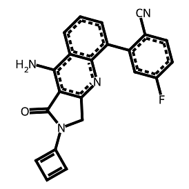 N#Cc1ccc(F)cc1-c1cccc2c(N)c3c(nc12)CN(C1=CC=C1)C3=O